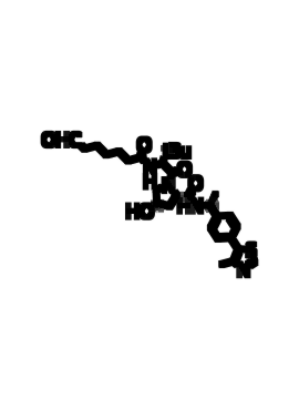 Cc1ncsc1-c1ccc([C@H](C)NC(=O)[C@@H]2C[C@@H](O)CN2C(=O)C(NC(=O)CCCCCC=O)C(C)(C)C)cc1